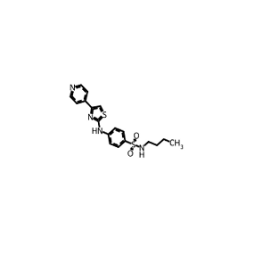 CCCCNS(=O)(=O)c1ccc(Nc2nc(-c3ccncc3)cs2)cc1